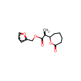 C=C(C(=O)OCc1ccco1)C1CCCCC(=O)O1